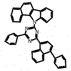 c1ccc(-c2nc(-c3ccc(-c4ccccc4)c4ccccc34)nc(-n3c4ccccc4c4ccc5ccccc5c43)n2)cc1